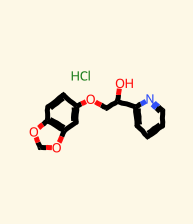 Cl.OC(COc1ccc2c(c1)OCO2)c1ccccn1